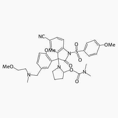 COCCN(C)Cc1ccc(OC)c(C2(N3CCCC3OC(=O)N(C)C)C(=O)N(S(=O)(=O)c3ccc(OC)cc3)c3ccc(C#N)cc32)c1